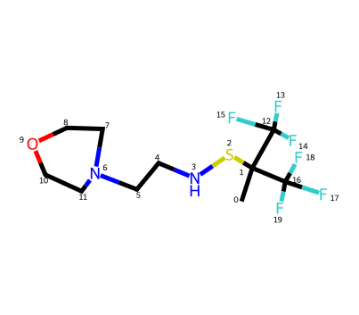 CC(SNCCN1CCOCC1)(C(F)(F)F)C(F)(F)F